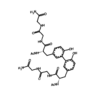 CC(=O)N[C@@H](Cc1ccc(O)c(-c2cc(C[C@H](NC(C)=O)C(=O)NCC(=O)NCC(N)=O)ccc2O)c1)C(=O)NCC(=O)NCC(N)=O